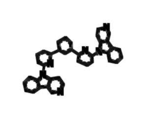 c1cc(-c2cccc(-n3c4ccccc4c4cnccc43)n2)cc(-c2cccc(-n3c4ccccc4c4cnccc43)n2)c1